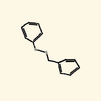 c1ccc(CS[N]c2ccccc2)cc1